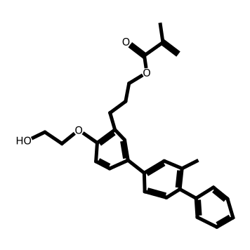 C=C(C)C(=O)OCCCc1cc(-c2ccc(-c3ccccc3)c(C)c2)ccc1OCCO